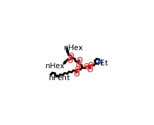 CCCCC/C=C\C/C=C\CCCCCCCC(=O)OCC(COC(=O)CCC(OCC#CCCCCCC)OCC#CCCCCCC)COC(=O)OCC1CCCN(CC)C1